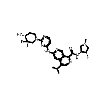 CC(C)c1cnc(C(=O)N[C@H]2CN(C)C[C@@H]2F)c2cnc(Nc3ccnc(N4CC[C@@H](O)[C@@](C)(F)C4)n3)cc12